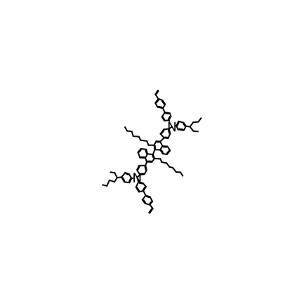 C=Cc1ccc(-c2ccc(N(c3ccc(-c4cc(CCCCCCCC)c(-c5c(CCCCCCCC)cc(-c6ccc(N(c7ccc(-c8ccc(C=C)cc8)cc7)c7ccc(C(CC)CCCC)cc7)cc6)c6ccccc56)c5ccccc45)cc3)c3ccc(C(CC)CCC)cc3)cc2)cc1